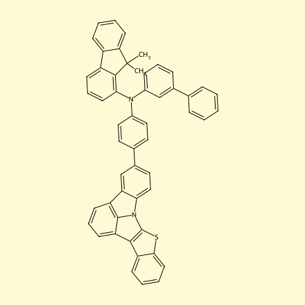 CC1(C)c2ccccc2-c2cccc(N(c3ccc(-c4ccc5c(c4)c4cccc6c7c8ccccc8sc7n5c46)cc3)c3cccc(-c4ccccc4)c3)c21